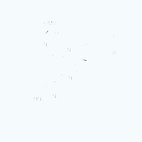 COC(=O)[C@@H]1CCCCN1C1CCN(C(=O)[C@@H](CC2=CCC(O)C(Br)=C2)OC(=O)N2CCC(N3CCc4ccccc4NC3=O)CC2)CC1